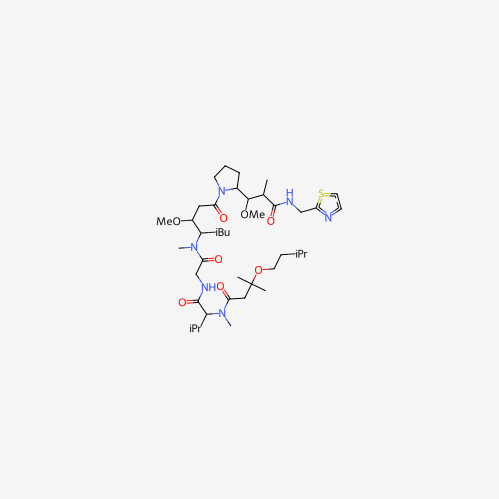 CCC(C)C(C(CC(=O)N1CCCC1C(OC)C(C)C(=O)NCc1nccs1)OC)N(C)C(=O)CNC(=O)C(C(C)C)N(C)C(=O)CC(C)(C)OCCC(C)C